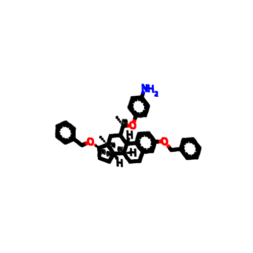 C[C@H](Oc1ccc(N)cc1)C1C[C@]2(C)[C@@H](OCc3ccccc3)CC[C@H]2[C@@H]2CCc3cc(OCc4ccccc4)ccc3[C@@H]12